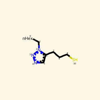 CCCCCCCn1nncc1CCCS